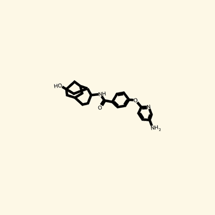 Nc1ccc(Oc2ccc(C(=O)NC3CCC4CC5CC(O)(C4)CC53)cc2)nc1